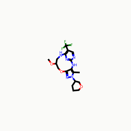 COC1CNc2nc(ncc2C(F)(F)F)Nc2c(nn(C3CCCOC3)c2C)OC1